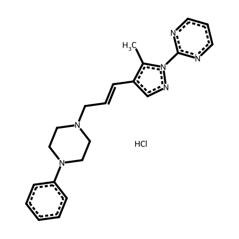 Cc1c(C=CCN2CCN(c3ccccc3)CC2)cnn1-c1ncccn1.Cl